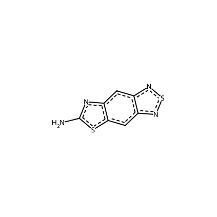 Nc1nc2cc3nsnc3cc2s1